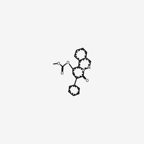 COC(=O)Oc1cc(-c2ccccc2)c(=O)n2ncc3ccccc3c12